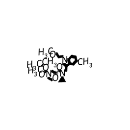 COCCCn1cc(CN(C(=O)[C@H]2CN(C(=O)OC(C)(C)C)CCO2)C2CC2)c2cc(C)ccc21